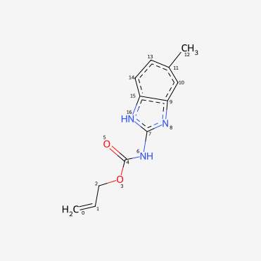 C=CCOC(=O)Nc1nc2cc(C)ccc2[nH]1